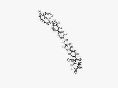 Nc1c(F)ccc2cnc(-n3ccc4cc(N5CCC(CCN6CCN(c7ccc8c(c7)C(=O)N(C7CCC(=O)NC7=O)C8=O)CC6)CC5)ncc43)cc12